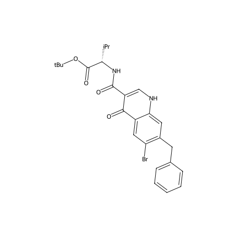 CC(C)[C@H](NC(=O)c1c[nH]c2cc(Cc3ccccc3)c(Br)cc2c1=O)C(=O)OC(C)(C)C